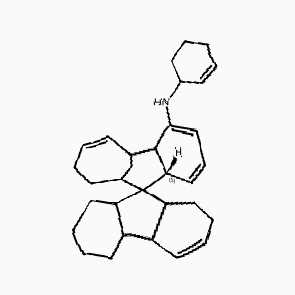 C1=C[C@H]2C(C(NC3C=CCCC3)=C1)C1C=CCCC1C21C2CCC=CC2C2CCCCC21